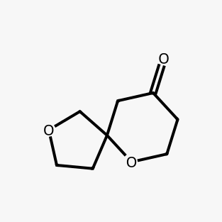 O=C1CCOC2(CCOC2)C1